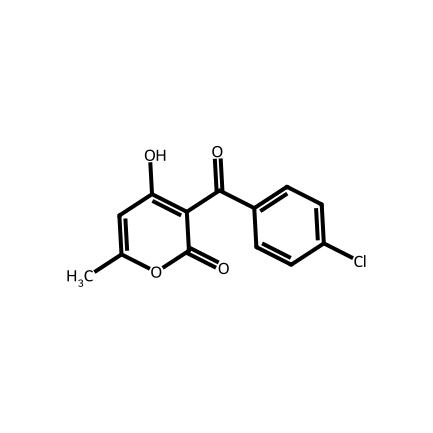 Cc1cc(O)c(C(=O)c2ccc(Cl)cc2)c(=O)o1